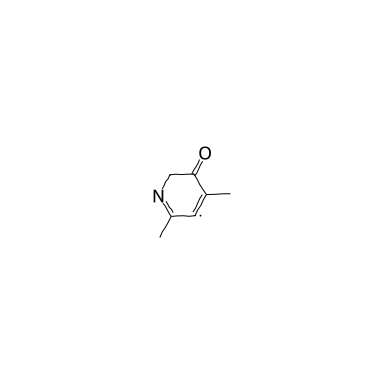 CC1=[C]C(C)=NCC1=O